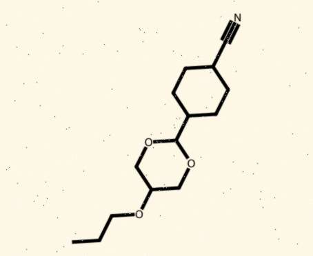 CCCOC1COC(C2CCC(C#N)CC2)OC1